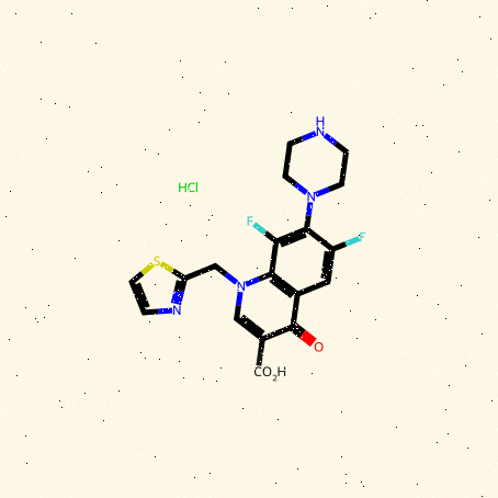 Cl.O=C(O)c1cn(Cc2nccs2)c2c(F)c(N3CCNCC3)c(F)cc2c1=O